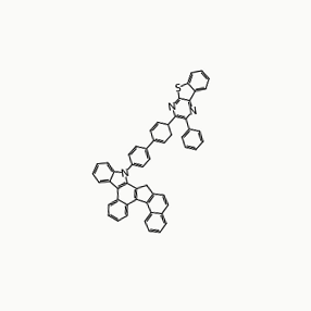 C1=CC(c2nc3sc4ccccc4c3nc2-c2ccccc2)CC=C1c1ccc(-n2c3ccccc3c3c4ccccc4c4c(c32)Cc2ccc3ccccc3c2-4)cc1